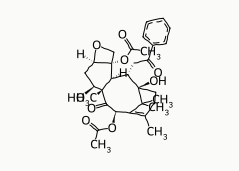 CC(=O)O[C@H]1C(=O)[C@@]2(C)[C@H]([C@H](CC(=O)c3ccccc3)[C@]3(O)CCC(C)=C1C3(C)C)[C@]1(OC(C)=O)CO[C@@H]1C[C@@H]2O